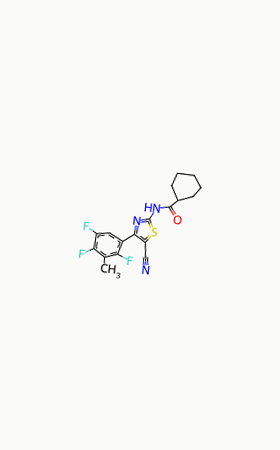 Cc1c(F)c(F)cc(-c2nc(NC(=O)C3CCCCC3)sc2C#N)c1F